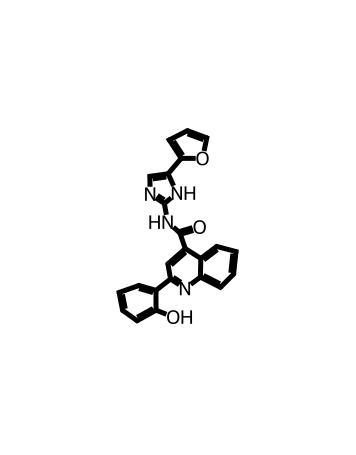 O=C(Nc1ncc(-c2ccco2)[nH]1)c1cc(-c2ccccc2O)nc2ccccc12